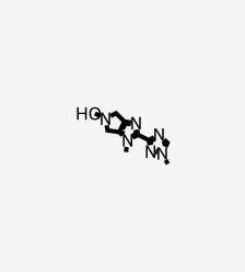 Cn1cnc(-c2nc3c(n2C)CN(O)C3)n1